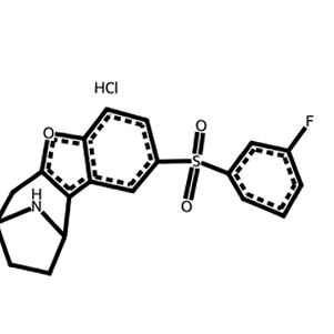 Cl.O=S(=O)(c1cccc(F)c1)c1ccc2oc3c(c2c1)C1CCC(C3)N1